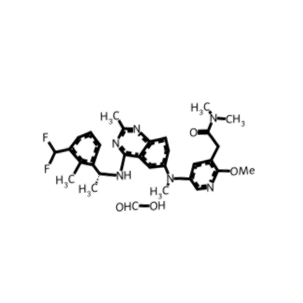 COc1ncc(N(C)c2ccc3nc(C)nc(N[C@H](C)c4cccc(C(F)F)c4C)c3c2)cc1CC(=O)N(C)C.O=CO